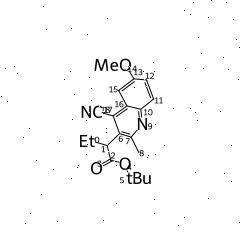 CCC(C(=O)OC(C)(C)C)c1c(C)nc2ccc(OC)cc2c1C#N